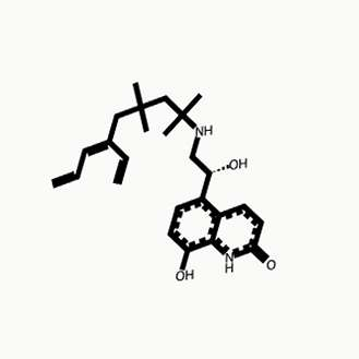 C=C/C=C(\C=C)CC(C)(C)CC(C)(C)NC[C@H](O)c1ccc(O)c2[nH]c(=O)ccc12